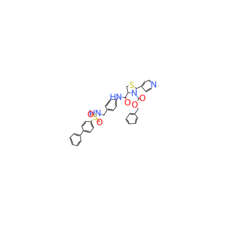 O=C(Nc1ccc(CNS(=O)(=O)c2ccc(-c3ccccc3)cc2)cc1)C1CSC(c2ccncc2)N1C(=O)OCc1ccccc1